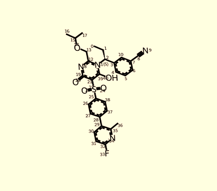 CC[C@@H](c1cccc(C#N)c1)n1c(COC(C)C)nc(=O)c(S(=O)(=O)c2ccc(-c3ccc(F)nc3C)cc2)c1O